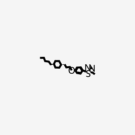 CCCCC[C@H]1CC[C@H](CCCOc2ccc(-c3nnc(C)s3)cc2)CC1